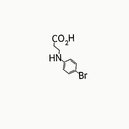 O=C(O)CCNc1ccc(Br)cc1